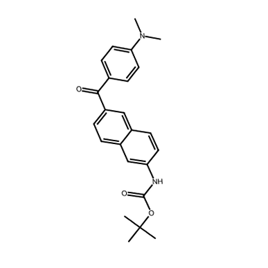 CN(C)c1ccc(C(=O)c2ccc3cc(NC(=O)OC(C)(C)C)ccc3c2)cc1